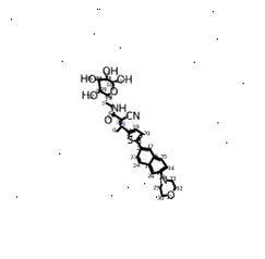 C/C(=C(/C#N)C(=O)NC[C@H]1OC(O)[C@H](O)[C@@H](O)[C@@H]1O)c1ccc(-c2ccc3cc(N4CCOCC4)ccc3c2)s1